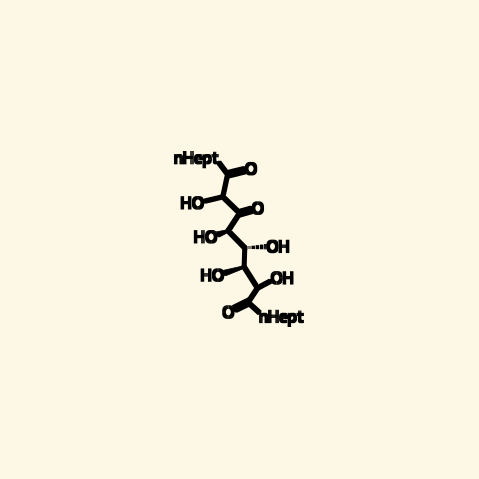 CCCCCCCC(=O)C(O)C(=O)[C@H](O)[C@H](O)[C@H](O)C(O)C(=O)CCCCCCC